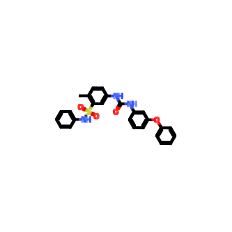 Cc1ccc(NC(=O)Nc2cccc(Oc3ccccc3)c2)cc1S(=O)(=O)Nc1ccccc1